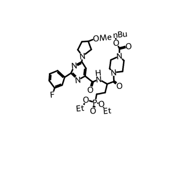 CCCCOC(=O)N1CCN(C(=O)C(CCP(=O)(OCC)OCC)NC(=O)c2cc(N3CCC(OC)C3)nc(-c3cccc(F)c3)n2)CC1